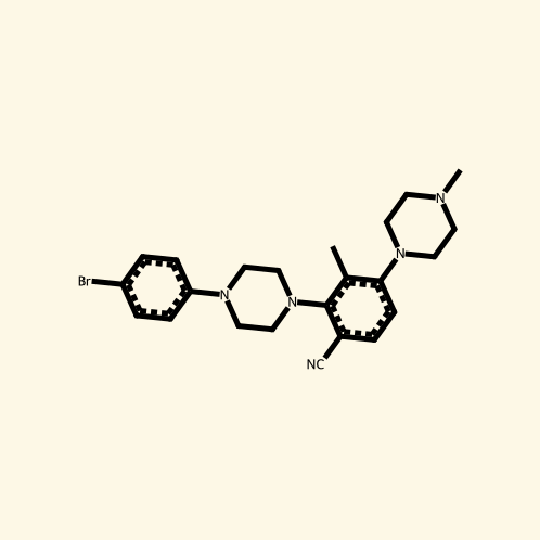 Cc1c(N2CCN(C)CC2)ccc(C#N)c1N1CCN(c2ccc(Br)cc2)CC1